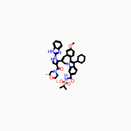 COc1ccc2c(c1)C=C(c1c(C(=O)N3C[C@@H](C)O[C@@H](C)C3)cnn1-c1nc3ccccc3[nH]1)Cn1c-2c(C2CCCCC2)c2ccc(C(=O)NS(=O)(=O)C(C)C)cc21